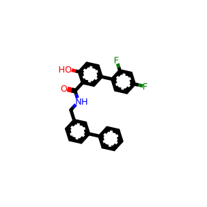 O=C(NCc1cccc(-c2ccccc2)c1)c1cc(-c2ccc(F)cc2F)ccc1O